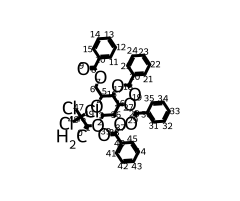 C=C(OC1OC(COC(=O)c2ccccc2)C(OC(=O)c2ccccc2)C(OC(=O)c2ccccc2)C1OC(=O)c1ccccc1)C(Cl)(Cl)Cl